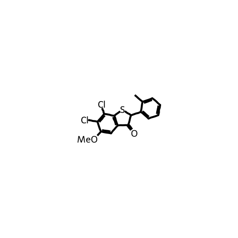 COc1cc2c(c(Cl)c1Cl)SC(c1ccccc1C)C2=O